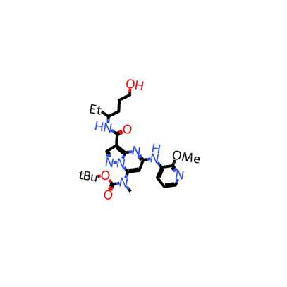 CCC(CCCO)NC(=O)c1cnn2c(N(C)C(=O)OC(C)(C)C)cc(Nc3cccnc3OC)nc12